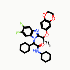 CC(Oc1ccc2c(c1)OCCO2)c1nc2cc(F)c(F)cc2n1C(C(=O)NC1CCCCC1)C1CCCCC1